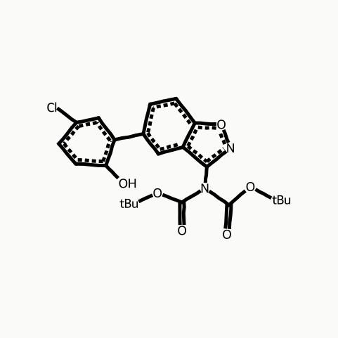 CC(C)(C)OC(=O)N(C(=O)OC(C)(C)C)c1noc2ccc(-c3cc(Cl)ccc3O)cc12